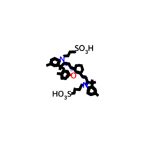 Cc1ccc(OC2=C(/C=C/C3=[N+](CCCCS(=O)(=O)O)c4ccc(C)cc4C3(C)C)CCC/C2=C\C=C2\N(CCCCS(=O)(=O)O)c3ccc(C)cc3C2(C)C)cc1